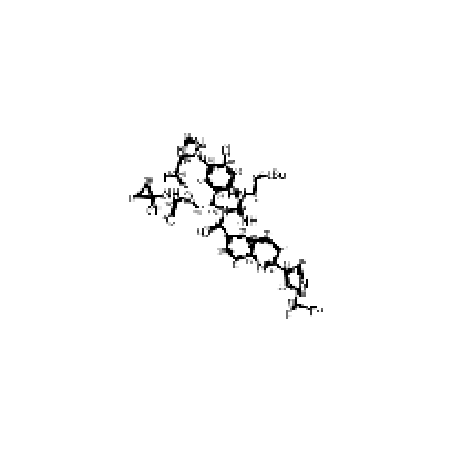 CC(C)(C)CCNC(=N)N(C(=O)c1ccc2nc(-c3cnn(C(F)F)c3)ccc2c1)[C@H](COC(=O)NC1(C(F)(F)F)CC1)c1ccc(Cl)c(-n2ncnc2C(F)F)c1